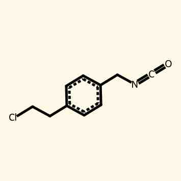 O=C=NCc1ccc(CCCl)cc1